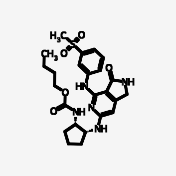 CCCCOC(=O)N[C@H]1CCC[C@H]1Nc1cc2c(c(Nc3cccc(S(C)(=O)=O)c3)n1)C(=O)NC2